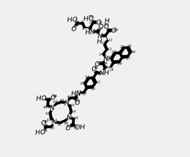 O=C(O)CC[C@H](NC(=O)N[C@@H](CCCCNC(=O)[C@H](Cc1ccc2ccccc2c1)NC(=O)c1ccc(CNC(=O)CN2CCN(CC(=O)O)CCN(CC(=O)O)CCN(CC(=O)O)CC2)cc1)C(=O)O)C(=O)O